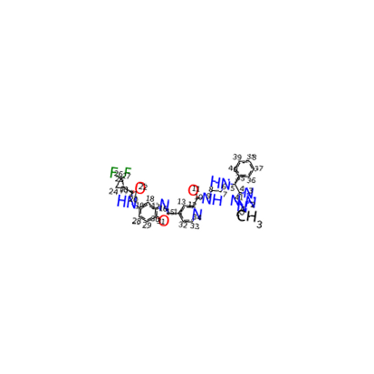 Cn1nnc(C(NCCNC(=O)c2cc(-c3nc4cc(NC(=O)[C@H]5CC5(F)F)ccc4o3)ccn2)c2ccccc2)n1